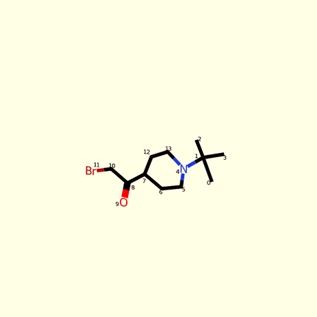 CC(C)(C)N1CCC(C(=O)CBr)CC1